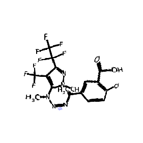 C=C(/N=N\N(C)c1c(C(F)(F)F)c(C(F)(F)C(F)(F)F)nn1C)c1ccc(Cl)c(C(=O)O)c1